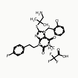 Cn1c(=O)c2c(nc(SC(C)(C)CN)n2Cc2ccccc2Cl)n(CCc2ccc(F)cc2)c1=O.O=C(O)C(F)(F)F